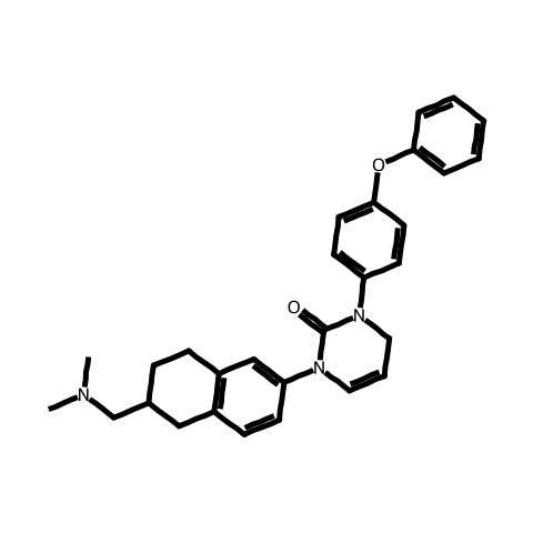 CN(C)CC1CCc2cc(N3C=CCN(c4ccc(Oc5ccccc5)cc4)C3=O)ccc2C1